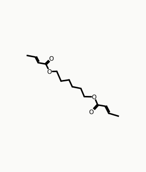 CC=CC(=O)OCCCCCCOC(=O)C=CC